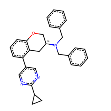 c1ccc(CN(Cc2ccccc2)[C@@H]2COc3cccc(-c4cnc(C5CC5)nc4)c3C2)cc1